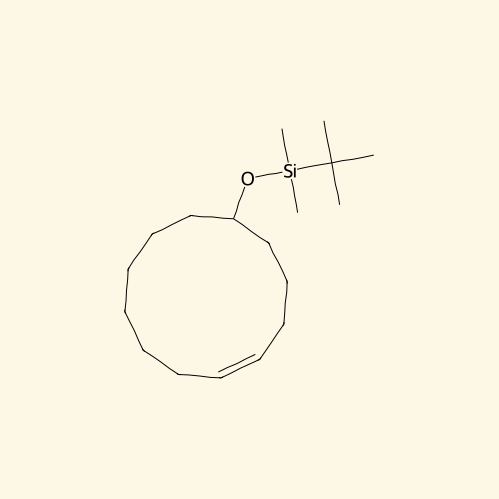 CC(C)(C)[Si](C)(C)OC1CCCC=CCCCCCC1